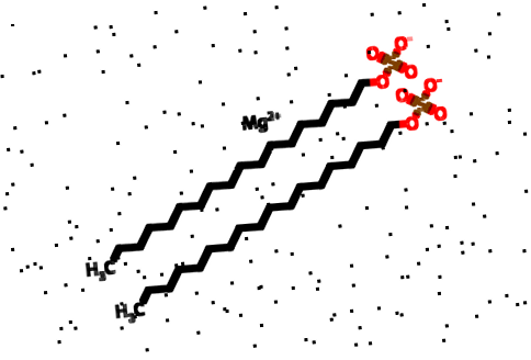 CCCCCCCCCCCCCCCCCCOS(=O)(=O)[O-].CCCCCCCCCCCCCCCCCCOS(=O)(=O)[O-].[Mg+2]